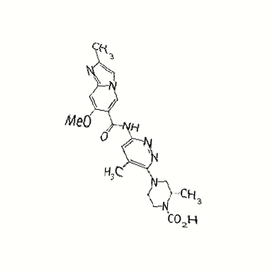 COc1cc2nc(C)cn2cc1C(=O)Nc1cc(C)c(N2CCN(C(=O)O)[C@@H](C)C2)nn1